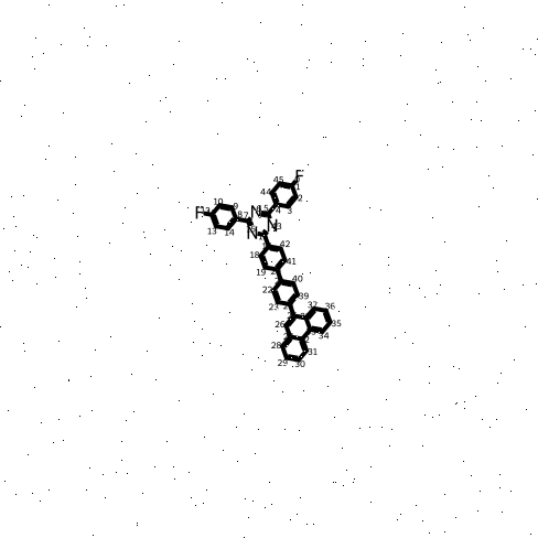 Fc1ccc(-c2nc(-c3ccc(F)cc3)nc(-c3ccc(-c4ccc(-c5cc6ccccc6c6ccccc56)cc4)cc3)n2)cc1